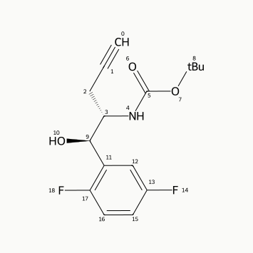 C#CC[C@H](NC(=O)OC(C)(C)C)[C@H](O)c1cc(F)ccc1F